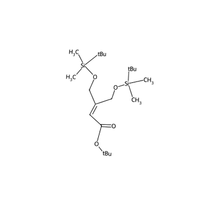 CC(C)(C)OC(=O)C=C(CO[Si](C)(C)C(C)(C)C)CO[Si](C)(C)C(C)(C)C